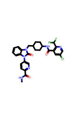 CNC(=O)c1ccc(-n2c(=O)n(CC3CCC(NC(=O)c4cc(Cl)cnc4C(F)F)CC3)c3ccccc32)cn1